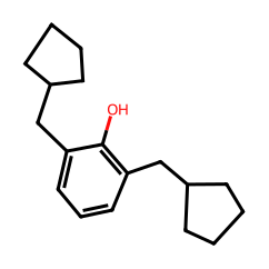 Oc1c(CC2CCCC2)cccc1CC1CCCC1